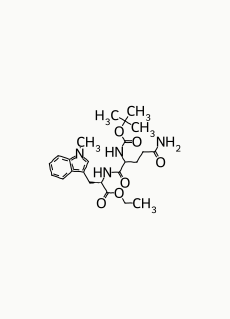 CCOC(=O)[C@@H](Cc1cn(C)c2ccccc12)NC(=O)C(CCC(N)=O)NC(=O)OC(C)(C)C